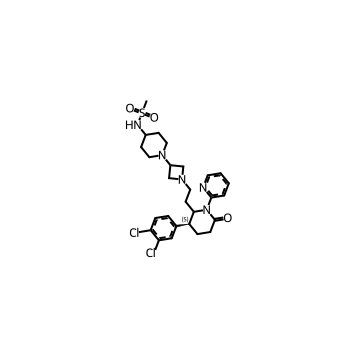 CS(=O)(=O)NC1CCN(C2CN(CCC3[C@H](c4ccc(Cl)c(Cl)c4)CCC(=O)N3c3ccccn3)C2)CC1